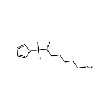 CCCCCCCCCCCCCCC(C)C(C)(CC)n1ccnc1